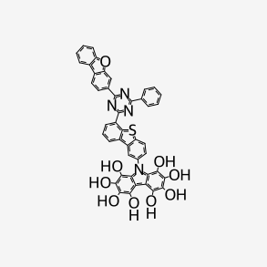 Oc1c(O)c(O)c2c(c1O)c1c(O)c(O)c(O)c(O)c1n2-c1ccc2sc3c(-c4nc(-c5ccccc5)nc(-c5ccc6c(c5)oc5ccccc56)n4)cccc3c2c1